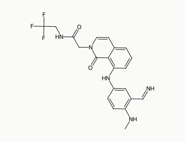 CNc1ccc(Nc2cccc3ccn(CC(=O)NCC(F)(F)F)c(=O)c23)cc1C=N